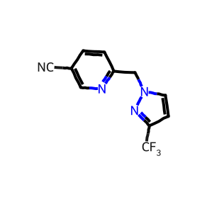 N#Cc1ccc(Cn2ccc(C(F)(F)F)n2)nc1